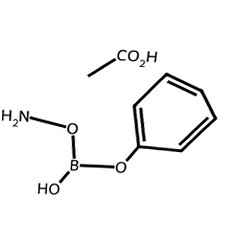 CC(=O)O.NOB(O)Oc1ccccc1